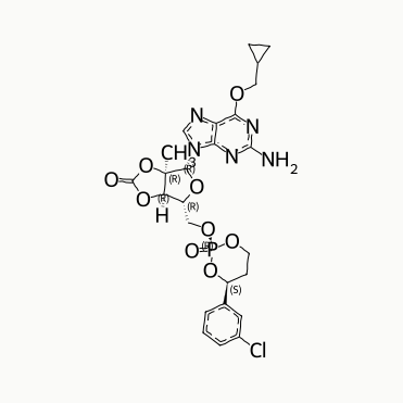 C[C@@]12OC(=O)O[C@@H]1[C@@H](CO[P@@]1(=O)OCC[C@@H](c3cccc(Cl)c3)O1)O[C@H]2n1cnc2c(OCC3CC3)nc(N)nc21